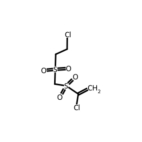 C=C(Cl)S(=O)(=O)CS(=O)(=O)CCCl